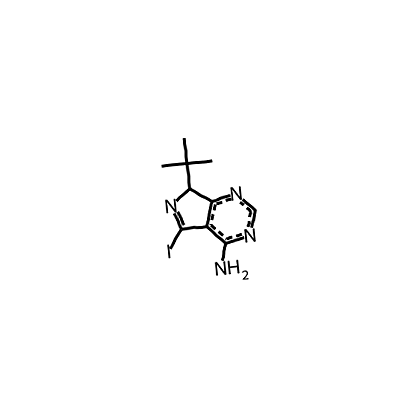 CC(C)(C)C1N=C(I)c2c(N)ncnc21